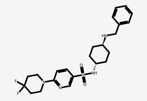 O=S(=O)(N[C@H]1CC[C@H](NCc2ccccc2)CC1)c1ccc(N2CCC(F)(F)CC2)nc1